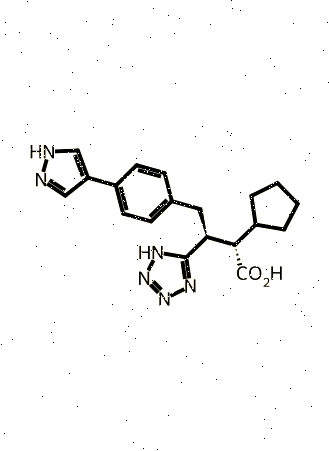 O=C(O)[C@@H](C1CCCC1)[C@H](Cc1ccc(-c2cn[nH]c2)cc1)c1nnn[nH]1